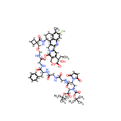 CC[C@@]1(O)C(=O)OCc2c1cc1n(c2=O)Cc2c-1nc1cc(F)c(C)c3c1c2[C@@H](NC(=O)C1(COCNC(=O)CNC(=O)[C@H](Cc2ccccc2)NC(=O)CNC(=O)CNC(=O)[C@H](CN(CC(=O)OC(C)(C)C)C(=O)OC(C)(C)C)N2C(=O)C=CC2=O)CCC1)CC3